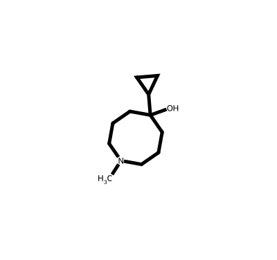 CN1CCCC(O)(C2CC2)CCC1